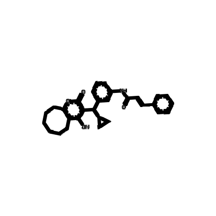 O=C(C=Cc1ccccc1)Nc1cccc(C(c2c(O)c3c(oc2=O)CCCCCC3)C2CC2)c1